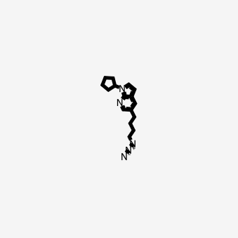 [N-]=[N+]=NCCCCc1cnc2c(ccn2C2CCCC2)c1